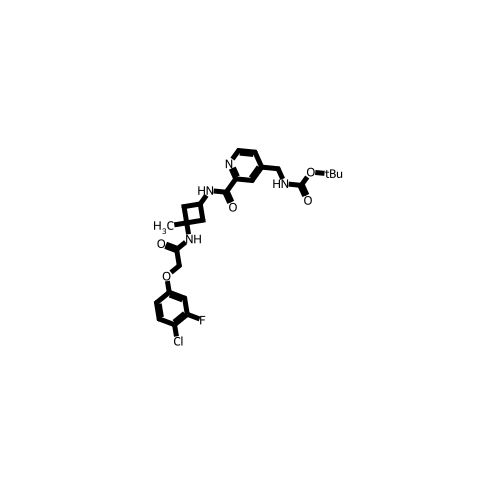 CC1(NC(=O)COc2ccc(Cl)c(F)c2)CC(NC(=O)c2cc(CNC(=O)OC(C)(C)C)ccn2)C1